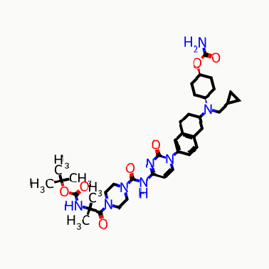 CC(C)(C)OC(=O)NC(C)(C)C(=O)N1CCN(C(=O)Nc2ccn(-c3ccc4c(c3)CCC(N(CC3CC3)[C@H]3CC[C@H](OC(N)=O)CC3)C4)c(=O)n2)CC1